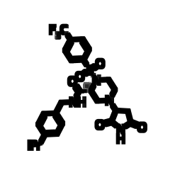 CC(C)c1ccc(CNC(=O)[C@H]2CN(C3CC(=O)NC3=O)CCN2S(=O)(=O)c2ccc(C(F)(F)F)cc2)cc1